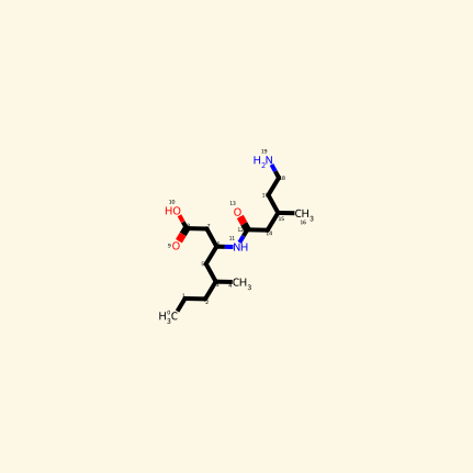 CCCC(C)CC(CC(=O)O)NC(=O)CC(C)CCN